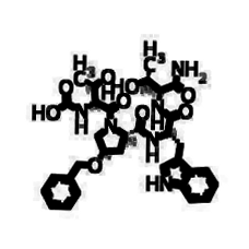 C[C@@H](O)[C@H](NC(=O)[C@H](Cc1c[nH]c2ccccc12)NC(=O)[C@@H]1C[C@@H](OCc2ccccc2)CN1C(=O)[C@@H](NC(=O)O)[C@@H](C)O)C(N)=O